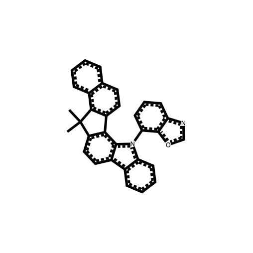 CC1(C)c2ccc3c4ccccc4n(-c4cccc5ncoc45)c3c2-c2ccc3ccccc3c21